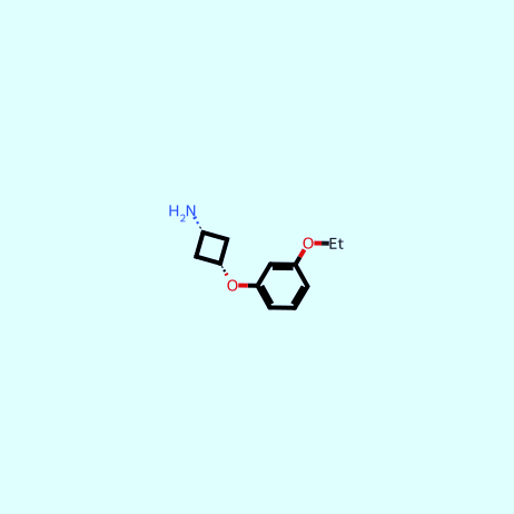 CCOc1cccc(O[C@H]2C[C@@H](N)C2)c1